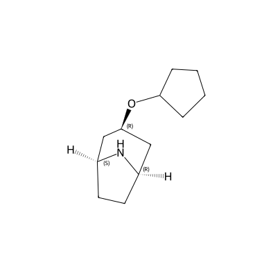 C1CCC(O[C@H]2C[C@H]3CC[C@@H](C2)N3)C1